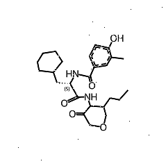 CCCC1COCC(=O)C1NC(=O)[C@H](CC1CCCCC1)NC(=O)c1ccc(O)c(C)c1